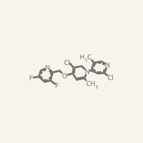 CC1=CC(OCc2ncc(F)cc2F)=C(Cl)CN1c1cc(Cl)ncc1C